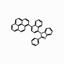 c1ccc(-c2nc3ccccc3n2-c2ccc(-c3ccc4ccc5cccc6ccc3c4c56)c3ccccc23)cc1